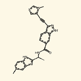 Cc1ccc2[nH]c(C(C)NC(=O)c3ccc4c(C#Cc5cncn5C)n[nH]c4c3)nc2c1